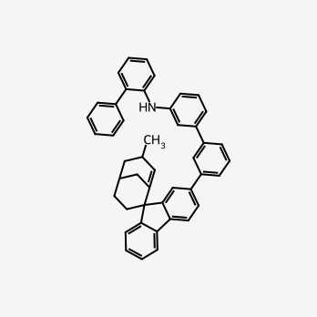 CC1C=C2CC(CCC23c2ccccc2-c2ccc(-c4cccc(-c5cccc(Nc6ccccc6-c6ccccc6)c5)c4)cc23)C1